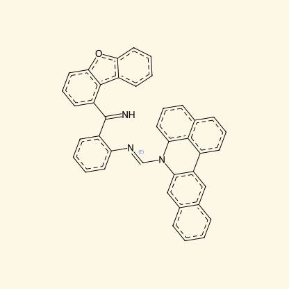 N=C(c1ccccc1/N=C/N1c2cc3ccccc3cc2-c2cccc3cccc1c23)c1cccc2oc3ccccc3c12